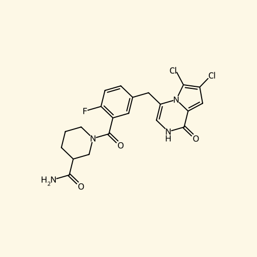 NC(=O)C1CCCN(C(=O)c2cc(Cc3c[nH]c(=O)c4cc(Cl)c(Cl)n34)ccc2F)C1